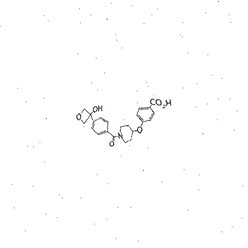 O=C(O)c1ccc(OC2CCN(C(=O)c3ccc(C4(O)COC4)cc3)CC2)cc1